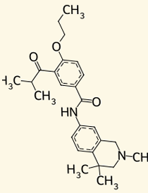 CCCOc1ccc(C(=O)Nc2ccc3c(c2)CN(C)CC3(C)C)cc1C(=O)C(C)C